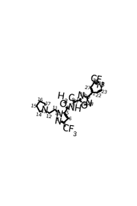 C[C@H](NC(=O)c1cc(C(F)(F)F)nn1CCN1CCCC1)c1nc(-c2ccnc(C(F)(F)F)c2)no1